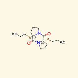 CC(=O)CCS[C@]12CCCN1C(=O)[C@@]1(SCCC(C)=O)CCCN1C2=O